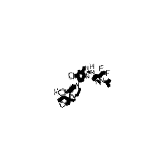 CC(C)n1ncc(Nc2ncc3cc(Cl)c(N4CCN(C5(C)COCC5O)CC4)cc3n2)c1C(F)F